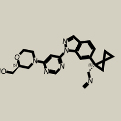 C=NC[C@@]1(c2ccc3cnn(-c4cc(N5CCO[C@H](CO)C5)ncn4)c3c2)CC12CC2